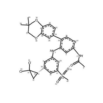 CC(=O)Nc1cc(Nc2cc([C@@H]3CC3(Cl)Cl)cc(S(C)(=O)=O)n2)c(-c2ccc3c(n2)OCC(C)(C)O3)cn1